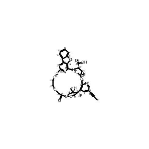 CC#Cc1cnc2c(c1)[C@@]1(F)CCN(C[C@@H]1C)C(=O)COCCCCc1nc(c3oc4ccccc4c3n1)N1C[C@H](C[C@H]1C(=O)O)O2